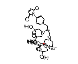 C[C@@H](CN(CC(=O)O)C[C@H](Cc1ccc(N2C(=O)C=CC2=O)cc1)N(CC(=O)O)CC(=O)O)N(CC(=O)O)CC(=O)O